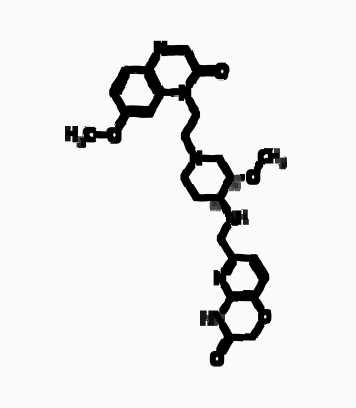 COc1ccc2ncc(=O)n(CCN3CC[C@H](NCc4ccc5c(n4)NC(=O)CO5)[C@@H](OC)C3)c2c1